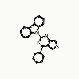 c1ccc(-c2nc(-n3c4ccccc4c4ccccc43)nc3cscc23)cc1